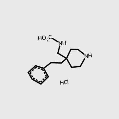 Cl.O=C(O)NCC1(CCc2ccccc2)CCNCC1